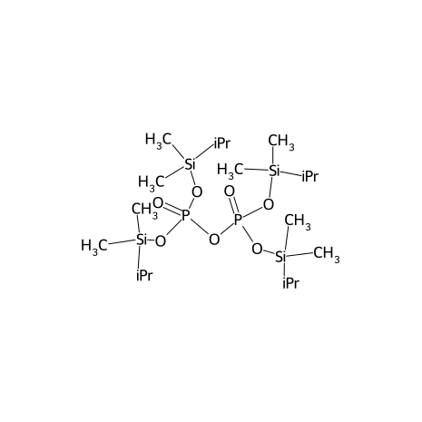 CC(C)[Si](C)(C)OP(=O)(O[Si](C)(C)C(C)C)OP(=O)(O[Si](C)(C)C(C)C)O[Si](C)(C)C(C)C